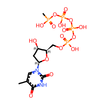 Cc1cn([C@H]2C[C@@H](O)[C@@H](COP(=O)(O)OP(=O)(O)OP(=O)(O)OP(C)(=O)O)O2)c(=O)[nH]c1=O